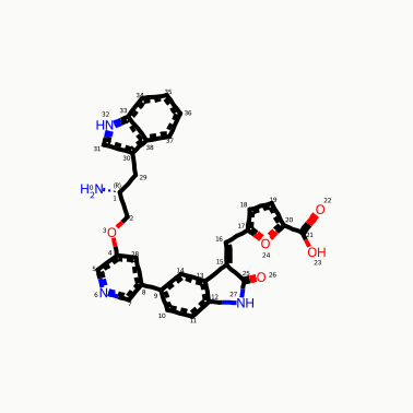 N[C@@H](COc1cncc(-c2ccc3c(c2)C(=Cc2ccc(C(=O)O)o2)C(=O)N3)c1)Cc1c[nH]c2ccccc12